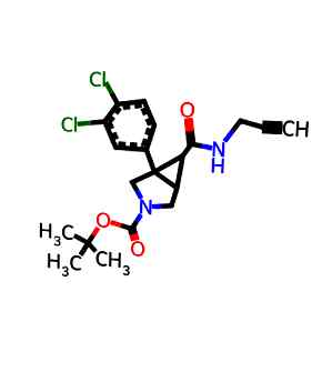 C#CCNC(=O)C1C2CN(C(=O)OC(C)(C)C)CC21c1ccc(Cl)c(Cl)c1